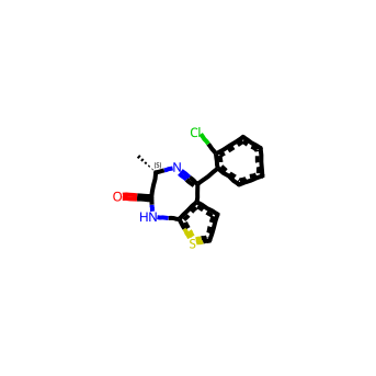 C[C@@H]1N=C(c2ccccc2Cl)c2ccsc2NC1=O